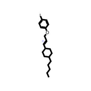 CCCCCC1CCC(/C=C/COc2ccc(I)cc2)CC1